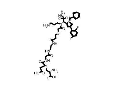 CC(C)(C)[C@H](c1cc(-c2cc(F)ccc2F)cn1Cc1ccccc1)N(CCCN)C(=O)CSCCC(=O)NCCNC(=O)CNC(=O)C(CC(=O)O)SC[C@H](N)C(=O)O